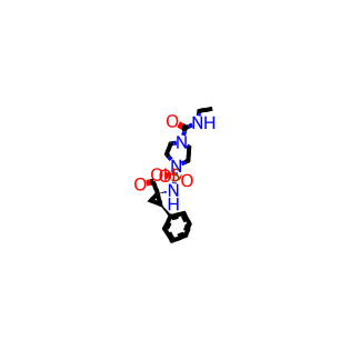 CCNC(=O)N1CCN(S(=O)(=O)N[C@@]2(C(=O)O)C[C@@H]2c2ccccc2)CC1